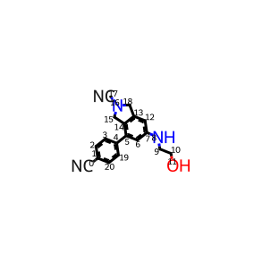 N#Cc1ccc(-c2cc(NCCO)cc3c2CN(C#N)C3)cc1